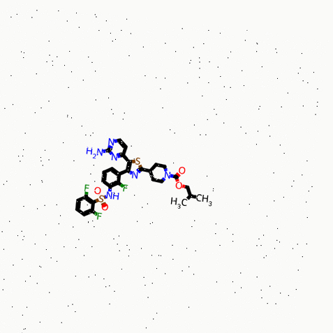 CC(C)COC(=O)N1CCC(c2nc(-c3cccc(NS(=O)(=O)c4c(F)cccc4F)c3F)c(-c3ccnc(N)n3)s2)CC1